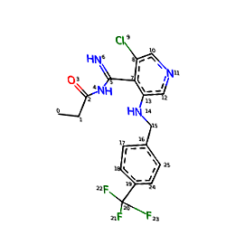 CCC(=O)NC(=N)c1c(Cl)cncc1NCc1ccc(C(F)(F)F)cc1